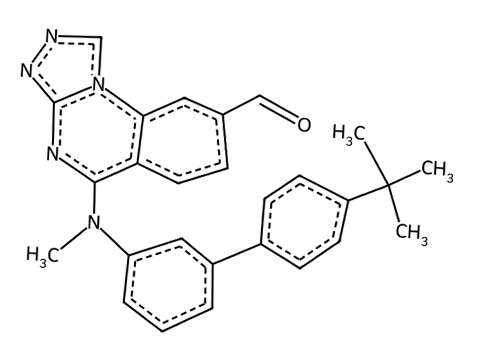 CN(c1cccc(-c2ccc(C(C)(C)C)cc2)c1)c1nc2nncn2c2cc(C=O)ccc12